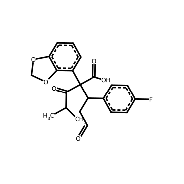 CC(C)C(=O)C(C(=O)O)(c1cccc2c1OCO2)C(CC=O)c1ccc(F)cc1